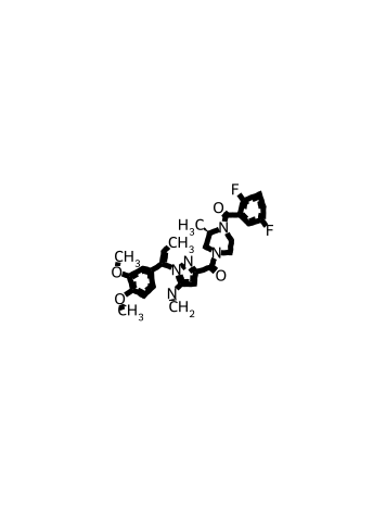 C=Nc1cc(C(=O)N2CCN(C(=O)c3cc(F)ccc3F)[C@@H](C)C2)nn1/C(=C\C)c1ccc(OC)c(OC)c1